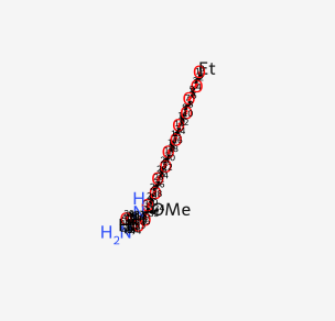 CCOCCOCCOCCOCCOCCOCCOCCOCCOCCOCCOC(COC)C(=O)N[C@H]1CO[C@H]2[C@@H]1OC[C@@H]2N